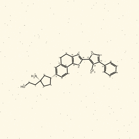 N[C@@]1(CCO)CC[C@@H](c2ccc3c(c2)CCc2nc(-c4onc(-c5ccccc5)c4C(F)(F)F)sc2-3)C1